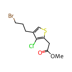 COC(=O)Cc1scc(CCCBr)c1Cl